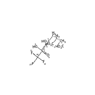 CC(=O)O.CC(=O)O.CC(=O)O.O=S(=O)(O)C(F)(F)F